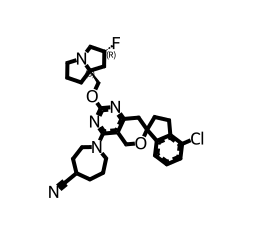 N#CC1CCCN(c2nc(OC[C@@]34CCCN3C[C@H](F)C4)nc3c2COC2(CCc4c(Cl)cccc42)C3)CC1